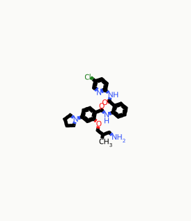 CC(CN)COc1cc(N2CCCC2)ccc1C(=O)Nc1ccccc1C(=O)Nc1ccc(Cl)cn1